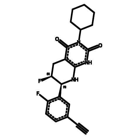 C#Cc1ccc(F)c([C@@H]2Nc3[nH]c(=O)n(C4CCCCC4)c(=O)c3C[C@@H]2F)c1